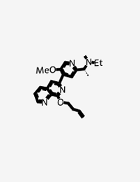 C=CCCOc1nc(-c2cc([C@@H](C)N(C)CC)ncc2OC)cc2cccnc12